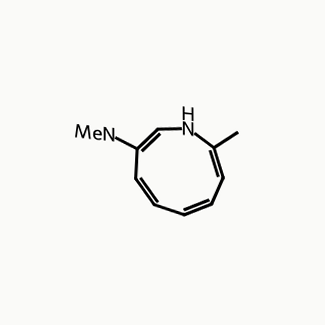 CNc1cccccc(C)[nH]c1